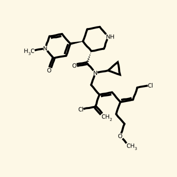 C=C(Cl)/C(=C\C(=C/CCl)CCOC)CN(C(=O)[C@H]1CNCC[C@@H]1c1ccn(C)c(=O)c1)C1CC1